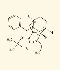 COC(=O)[C@H]1[C@@H]2CC[C@H](CN1C(=O)OC(C)(C)C)N(Cc1ccccc1)C2